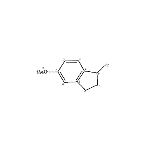 COc1ccc2c(c1)CCC2C